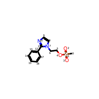 CS(=O)(=O)OCCn1ccnc1-c1ccccc1